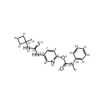 CN(C(=O)Oc1ccc(NC(=S)NC2(C)CCC2)cn1)c1ccccc1